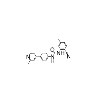 Cc1ccc(C#N)c(NC(=O)Nc2ccc(-c3ccnc(C)c3)cc2)c1